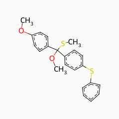 COc1ccc(C(OC)(SC)c2ccc(Sc3ccccc3)cc2)cc1